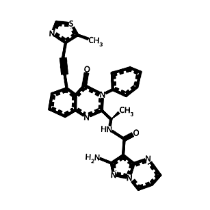 Cc1scnc1C#Cc1cccc2nc([C@@H](C)NC(=O)c3c(N)nn4cccnc34)n(-c3ccccc3)c(=O)c12